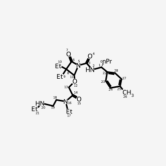 CCC[C@@H](NC(=O)N1C(=O)C(CC)(CC)C1OCC(=O)N(CC)CCNCC)c1ccc(C)cc1